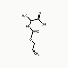 C=CCOC(=O)NC(C)C(=O)S